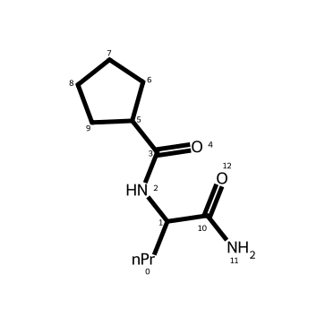 CCCC(NC(=O)C1CCCC1)C(N)=O